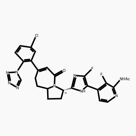 CC(=O)Nc1nccc(-c2[nH]c([C@@H]3CCC4CCC(c5cc(Cl)ccc5-n5cnnn5)=CC(=O)N43)nc2F)c1F